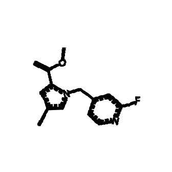 C=C(OC)c1cc(C)cn1Cc1ccnc(F)c1